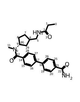 CCC(=O)NCC1CC[C@@H](N(C)C(=O)c2ccc(-c3ccc(C(N)=O)cc3)cc2)C1